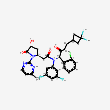 N#Cc1ccnc(N2C(=O)[C@H](O)C[C@H]2CC(=O)N(c2cc(F)cc(F)c2)[C@H](C(=O)CCC2CC(F)(F)C2)c2ccccc2Cl)n1